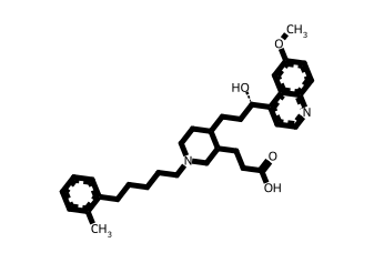 COc1ccc2nccc([C@@H](O)CCC3CCN(CCCCCc4ccccc4C)CC3CCC(=O)O)c2c1